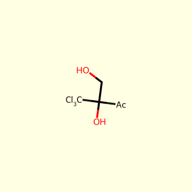 CC(=O)C(O)(CO)C(Cl)(Cl)Cl